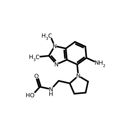 Cc1nc2c(N3CCCC3CNC(=O)O)c(N)ccc2n1C